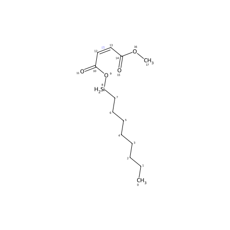 CCCCCCCC[SiH2]OC(=O)/C=C\C(=O)OC